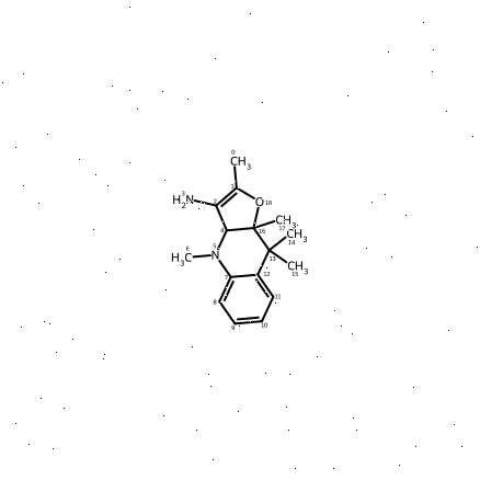 CC1=C(N)C2N(C)c3ccccc3C(C)(C)C2(C)O1